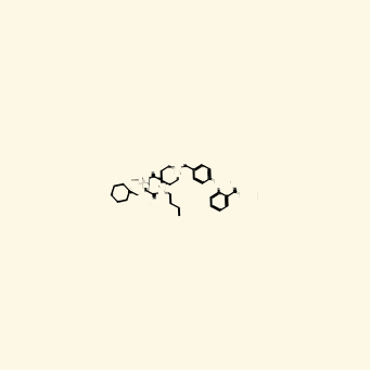 CCCCN1C(=O)[C@@H](CC2(O)CCCCC2)NC(=O)C12CCN(Cc1ccc(Oc3ccccc3C(=O)O)cc1)CC2.Cl